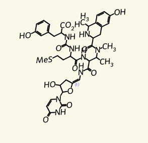 CSCCC(NC(=O)NC(Cc1cccc(O)c1)C(=O)O)C(=O)NC(C(=O)N/C=C1\CC(O)C(n2ccc(=O)[nH]c2=O)O1)C(C)N(C)C(=O)C1Cc2cc(O)ccc2C(C)N1